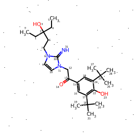 CCC(O)(CC)CCn1ccn(CC(=O)c2cc(C(C)(C)C)c(O)c(C(C)(C)C)c2)c1=N